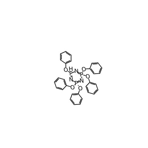 c1ccc(O[PH]2=NP(Oc3ccccc3)(Oc3ccccc3)=NP(Oc3ccccc3)(Oc3ccccc3)=N2)cc1